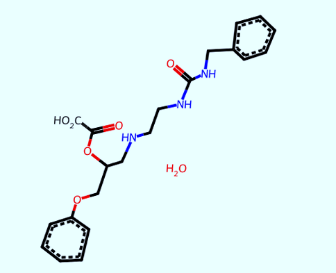 O.O=C(NCCNCC(COc1ccccc1)OC(=O)C(=O)O)NCc1ccccc1